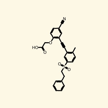 Cc1ccc(S(=O)(=O)CCc2ccccc2)cc1C#Cc1cc(C#N)ccc1OCC(=O)O